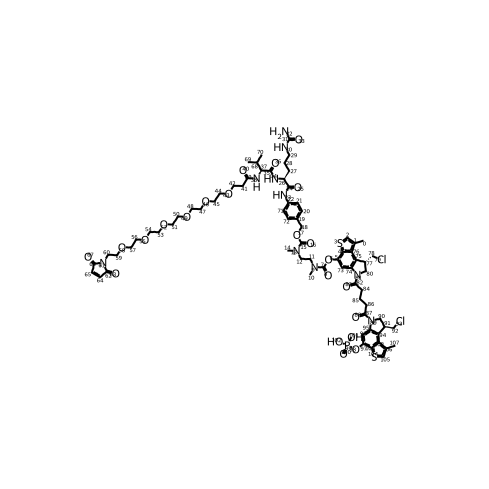 Cc1csc2c(OC(=O)N(C)CCN(C)C(=O)OCc3ccc(NC(=O)[C@H](CCCNC(N)=O)NC(=O)[C@@H](NC(=O)CCOCCOCCOCCOCCOCCOCCN4C(=O)C=CC4=O)C(C)C)cc3)cc3c(c12)[C@H](CCl)CN3C(=O)CCCC(=O)N1C[C@@H](CCl)c2c1cc(OP(=O)(O)O)c1scc(C)c21